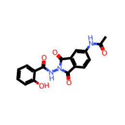 CC(=O)Nc1ccc2c(c1)C(=O)N(NC(=O)c1ccccc1O)C2=O